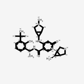 Cc1c([C@@H](C)NC(=O)c2cn([C@]34COCC3[C@H]4C)c(=O)cc2NC2C3CN(C)CC32)cccc1C(C)(F)I